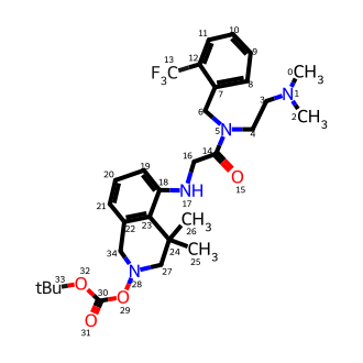 CN(C)CCN(Cc1ccccc1C(F)(F)F)C(=O)CNc1cccc2c1C(C)(C)CN(OC(=O)OC(C)(C)C)C2